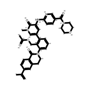 C=C(C)c1ccc2c(c1)CCN(c1cccc(-c3cc(Nc4ccc(C(=O)N5CCOCC5)cn4)c(=O)n(C)c3)c1COC(C)=O)C2=O